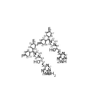 O.OC(CSc1ncnc2[nH]cnc12)CN1CCN(C(c2ccc(F)cc2)c2ccc(F)cc2)CC1.OC(CSc1ncnc2[nH]cnc12)CN1CCN(C(c2ccc(F)cc2)c2ccc(F)cc2)CC1